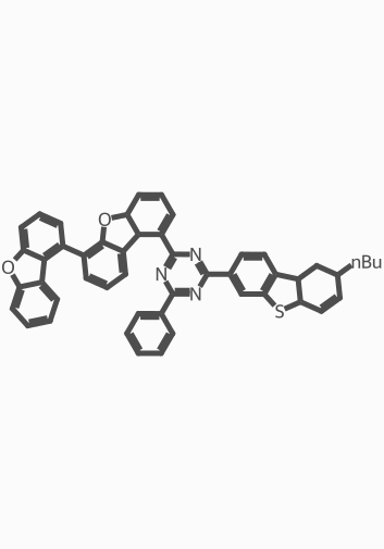 CCCCC1C=CC2Sc3cc(-c4nc(C5=CC=CC6Oc7c(-c8cccc9oc%10ccccc%10c89)cccc7C56)nc(-c5ccccc5)n4)ccc3C2C1